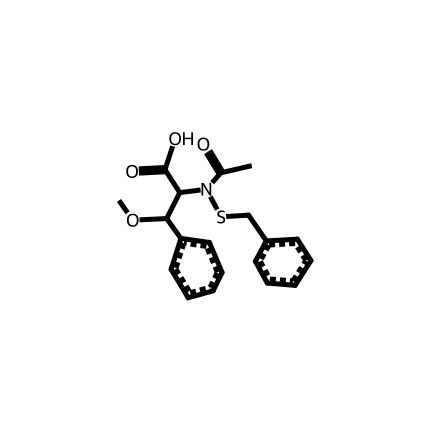 COC(c1ccccc1)C(C(=O)O)N(SCc1ccccc1)C(C)=O